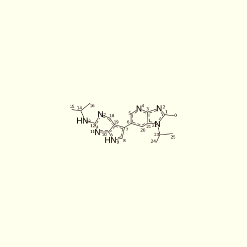 Cc1nc2ncc(-c3c[nH]c4nc(NC(C)C)ncc34)cc2n1C(C)C